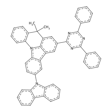 CC1(C)c2ccccc2-n2c3ccc(-n4c5ccccc5c5ccccc54)cc3c3cc(-c4nc(-c5ccccc5)nc(-c5ccccc5)n4)cc1c32